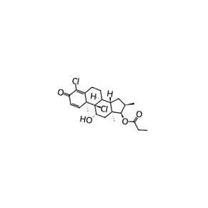 CCC(=O)O[C@@H]1[C@H](C)C[C@H]2[C@@H]3CCC4=C(Cl)C(=O)C=C[C@]4(C)[C@@]3(Cl)[C@@H](O)C[C@]12C